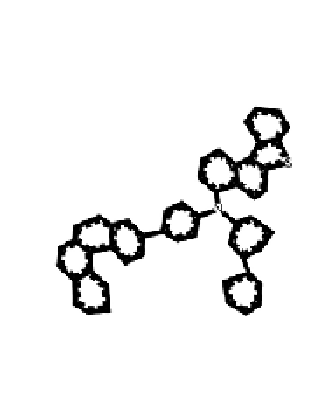 c1ccc(-c2cccc(N(c3ccc(-c4ccc5c(ccc6ccc7ccccc7c65)c4)cc3)c3cccc4c3ccc3sc5ccccc5c34)c2)cc1